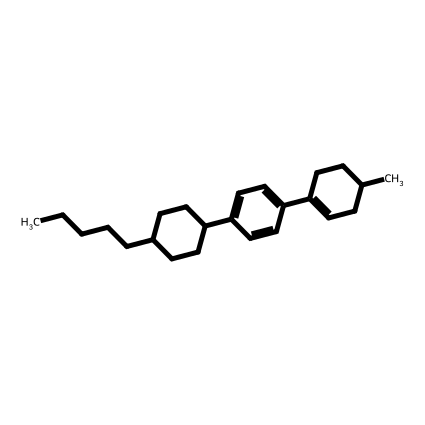 CCCCCC1CCC(c2ccc(C3=CCC(C)CC3)cc2)CC1